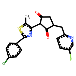 Cc1sc(-c2ccc(Cl)cc2)nc1C1C(=O)CC(Cc2ccc(F)cn2)C1=O